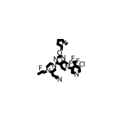 CC(F)=CN1CCN(c2nc(OCC3CCCN3C)nc3c2CCN(c2cncc(Cl)c2C(F)(F)F)C3)CC1CC#N